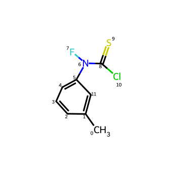 Cc1cccc(N(F)C(=S)Cl)c1